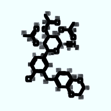 B[C@@H]1O[C@@H](c2ccc(Cl)c(Cc3ccc4c(c3)OCCO4)c2)[C@H](OC(C)=O)[C@@H](OC(C)=O)[C@@H]1OC(C)=O